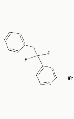 CC(C)c1cccc(C(F)(F)Cc2ccccc2)c1